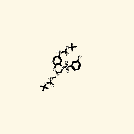 CC(C)(C)OC(=O)NC[C@H]1CN(S(=O)(=O)c2cccc(Br)c2)c2cc(NC(=O)OC(C)(C)C)cnc2O1